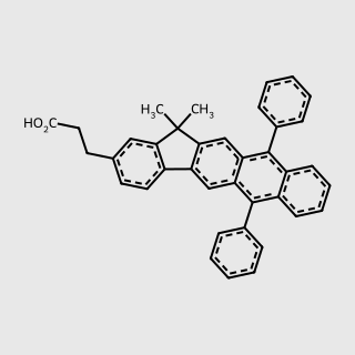 CC1(C)c2cc(CCC(=O)O)ccc2-c2cc3c(-c4ccccc4)c4ccccc4c(-c4ccccc4)c3cc21